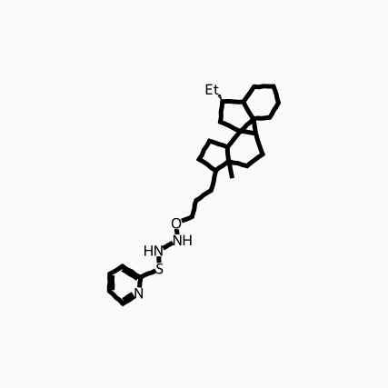 CC[C@H]1CC23C4CCC(CCCONNSc5ccccn5)C4(C)CCC2C32CCCCC12